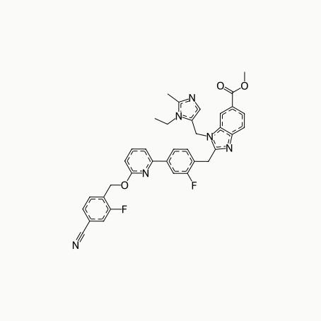 CCn1c(Cn2c(Cc3ccc(-c4cccc(OCc5ccc(C#N)cc5F)n4)cc3F)nc3ccc(C(=O)OC)cc32)cnc1C